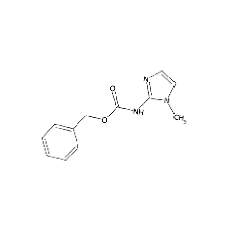 Cn1ccnc1NC(=O)OCc1ccccc1